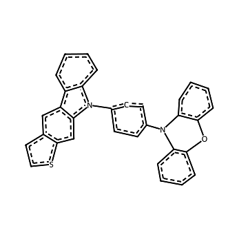 c1ccc2c(c1)Oc1ccccc1N2c1ccc(-n2c3ccccc3c3cc4ccsc4cc32)cc1